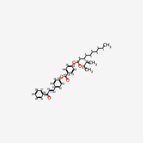 CCCCCCCCCC(Oc1ccc(C(=O)Oc2ccc(/C=C/C(=O)c3ccccc3)cc2)cc1)OC(C)CC